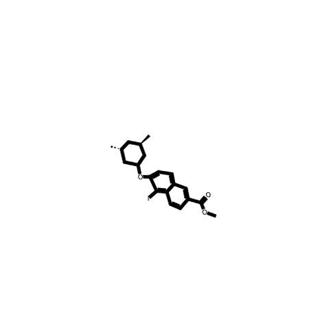 COC(=O)c1ccc2c(I)c(OC3C[C@H](C)C[C@@H](C)C3)ccc2c1